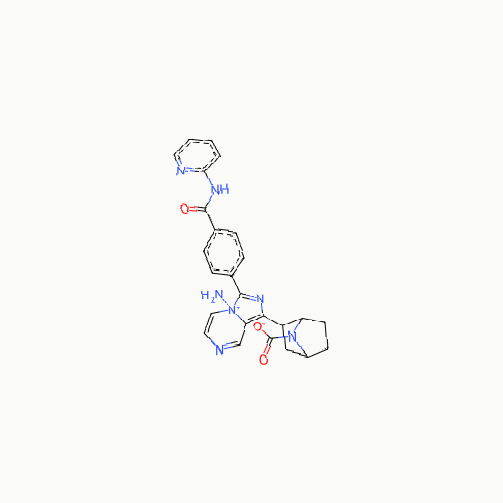 N[N+]12C=CN=CC1=C(C1CC3CCC1N3C(=O)[O-])N=C2c1ccc(C(=O)Nc2ccccn2)cc1